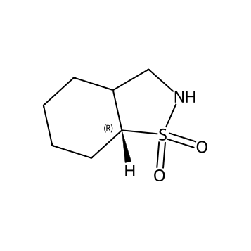 O=S1(=O)NCC2CCCC[C@H]21